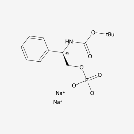 CC(C)(C)OC(=O)N[C@@H](COP(=O)([O-])[O-])c1ccccc1.[Na+].[Na+]